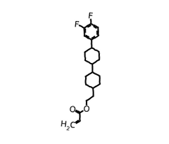 C=CC(=O)OCCC1CCC(C2CCC(c3ccc(F)c(F)c3)CC2)CC1